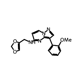 COc1ccccc1-c1cnn2ccc(NCC3=COCO3)nc12